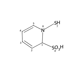 O=S(=O)(O)C1C=CC=CN1S